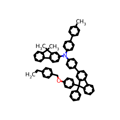 C=Cc1ccc(COc2ccc(C3(c4ccccc4)c4ccccc4-c4ccc(-c5ccc(N(c6ccc(-c7ccc(C)cc7)cc6)c6ccc7c(c6)C(C)(C)c6ccccc6-7)cc5)cc43)cc2)cc1